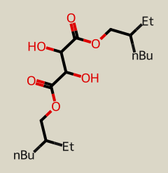 CCCCC(CC)COC(=O)C(O)C(O)C(=O)OCC(CC)CCCC